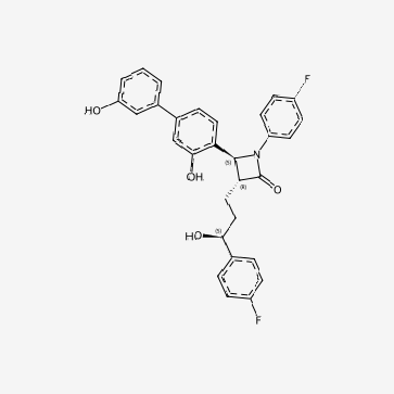 O=C1[C@H](CC[C@H](O)c2ccc(F)cc2)[C@@H](c2ccc(-c3cccc(O)c3)cc2O)N1c1ccc(F)cc1